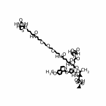 C=CC1CC1(NC(=O)[C@@H]1CC(Oc2nccc3cc(OC)ccc23)CN1C(=O)[C@H](CCC(=O)N1C[C@@H]2C[C@H]1C(=O)O2)NC(=O)CCCC(=O)NCCCOCCOCCOCCCNC(=O)CCCC[C@@H]1SC[C@@H]2NC(=O)N[C@@H]21)C(=O)NS(=O)(=O)C1CC1